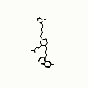 COc1ccc2nccc([C@@H](O)CCC3CCN(CCCCc4nccn4C)CC3CCC(=O)O)c2c1